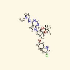 CN(C)/C=N/c1ncnc2c1ccn2[C@@H]1C[C@H](COc2ccc3cc(Cl)cnc3c2)[C@H]2OC(C)(C)O[C@H]21